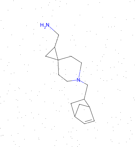 NCC1CC12CCN(CC1CC3C=CC1C3)CC2